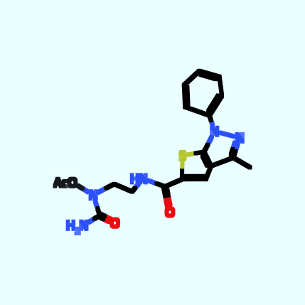 CC(=O)ON(CCNC(=O)c1cc2c(C)nn(-c3ccccc3)c2s1)C(N)=O